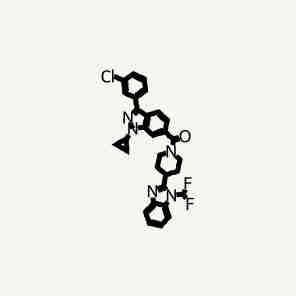 O=C(c1ccc2c(-c3cccc(Cl)c3)nn(C3CC3)c2c1)N1CCC(c2nc3ccccc3n2C(F)F)CC1